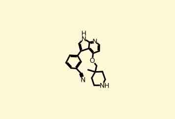 CC1(COc2ccnc3[nH]cc(-c4cccc(C#N)c4)c23)CCNCC1